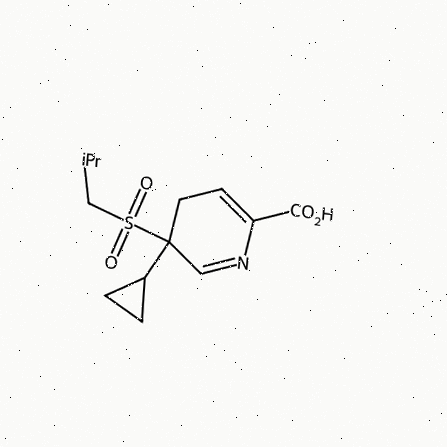 CC(C)CS(=O)(=O)C1(C2CC2)C=NC(C(=O)O)=CC1